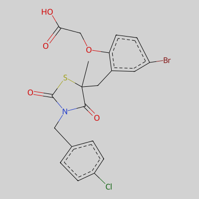 CC1(Cc2cc(Br)ccc2OCC(=O)O)SC(=O)N(Cc2ccc(Cl)cc2)C1=O